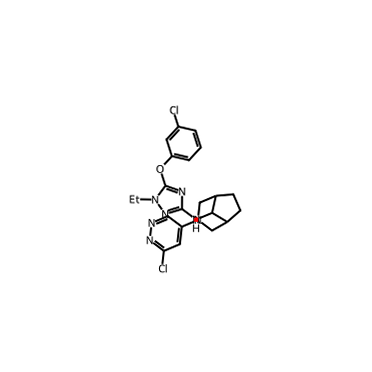 CCn1nc(NC2C3CCC2CN(c2cnnc(Cl)c2)C3)nc1Oc1cccc(Cl)c1